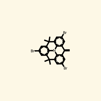 C=C1c2cc(Br)cc3c2N2c4c1cc(Br)cc4C(C)(C)c1cc(Br)cc(c12)C3(C)C